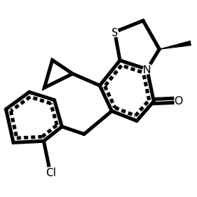 C[C@@H]1CSc2c(C3CC3)c(Cc3ccccc3Cl)cc(=O)n21